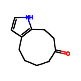 O=C1CCCCc2cc[nH]c2CC1